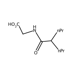 CCCC(CCC)C(=O)NCC(=O)O